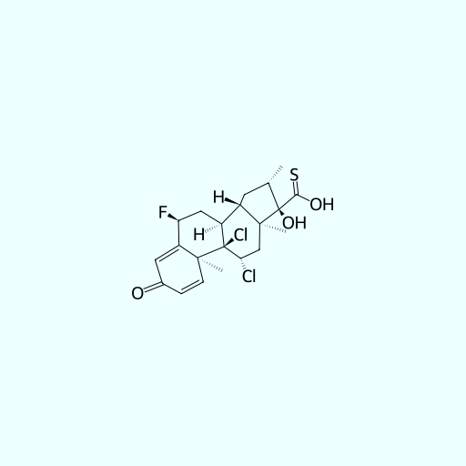 C[C@H]1C[C@H]2[C@@H]3C[C@H](F)C4=CC(=O)C=C[C@]4(C)[C@@]3(Cl)[C@@H](Cl)C[C@]2(C)[C@@]1(O)C(O)=S